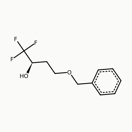 O[C@H](CCOCc1ccccc1)C(F)(F)F